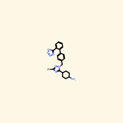 CC(C)c1nc(C2CCC(N)CC2)n(Cc2ccc(-c3ccccc3-c3nnn[nH]3)cc2)n1